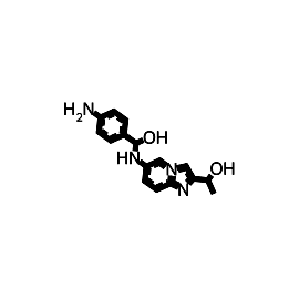 CC(O)c1cn2cc(NC(O)c3ccc(N)cc3)ccc2n1